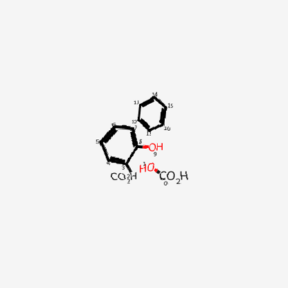 O=C(O)O.O=C(O)c1ccccc1O.c1ccccc1